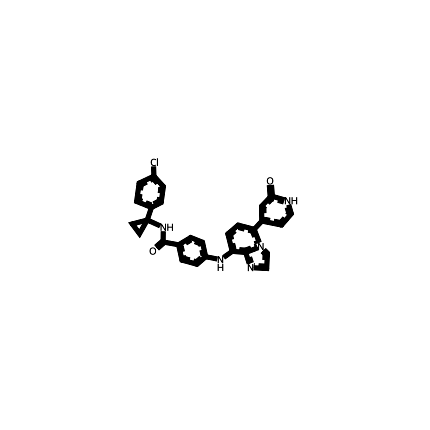 O=C(NC1(c2ccc(Cl)cc2)CC1)c1ccc(Nc2ccc(-c3cc[nH]c(=O)c3)n3ccnc23)cc1